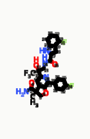 C[C@]1(C(N)=O)COc2c1cc([C@@](O)(CNC(=O)c1cc3c(F)cccc3[nH]1)C(F)(F)F)nc2-c1ccc(F)cc1